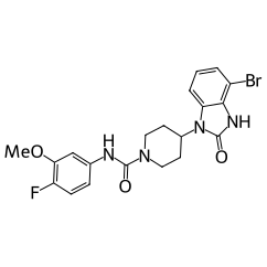 COc1cc(NC(=O)N2CCC(n3c(=O)[nH]c4c(Br)cccc43)CC2)ccc1F